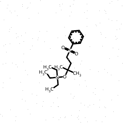 CC[Si](CC)(CC)OC(C)(C)CCS(=O)(=O)c1ccccc1